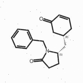 O=C1C=CC[C@H](C[C@@H]2CCC(=O)N2Cc2ccccc2)C1